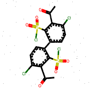 CC(=O)c1c(Cl)ccc(-c2ccc(Cl)c(C(C)=O)c2S(=O)(=O)Cl)c1S(=O)(=O)Cl